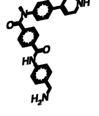 CN(C(=O)c1ccc(C(=O)Nc2ccc(CN)cc2)cc1)c1ccc(C2=CCNCC2)cc1